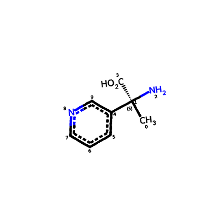 C[C@@](N)(C(=O)O)c1cccnc1